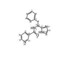 O=C(NN(Cc1ccccc1)c1ncc[nH]1)c1cccnc1